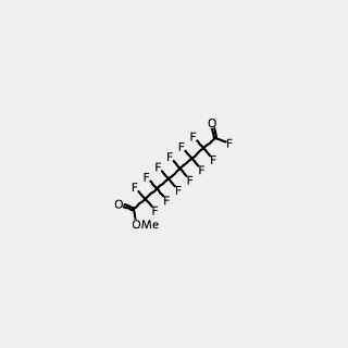 COC(=O)C(F)(F)C(F)(F)C(F)(F)C(F)(F)C(F)(F)C(F)(F)C(=O)F